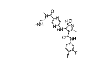 CNCCN(C)C(=O)c1cnc(Nc2snc(C)c2C(=O)Nc2ccc(F)c(F)c2)cn1.Cl